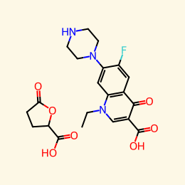 CCn1cc(C(=O)O)c(=O)c2cc(F)c(N3CCNCC3)cc21.O=C1CCC(C(=O)O)O1